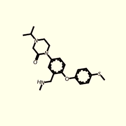 CNCc1cc(N2CCN(C(C)C)CC2=O)ccc1Oc1ccc(SC)cc1